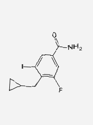 NC(=O)c1cc(F)c(CC2CC2)c(I)c1